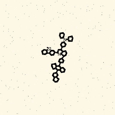 C[Si]1(C)c2ccccc2-c2ccc(-c3cc(-c4ccc(N(c5ccccc5)c5ccccc5)cc4)c4cccc(-c5ccc(-c6c7ccccc7c(-c7ccc8ccccc8c7)c7ccccc67)cc5)c4n3)cc21